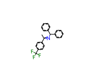 CC(=NC(c1ccccc1)c1ccccc1)c1ccc(C(F)(F)F)cc1